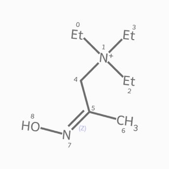 CC[N+](CC)(CC)C/C(C)=N\O